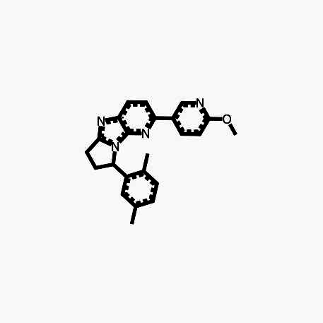 COc1ccc(-c2ccc3nc4n(c3n2)C(c2cc(C)ccc2C)CC4)cn1